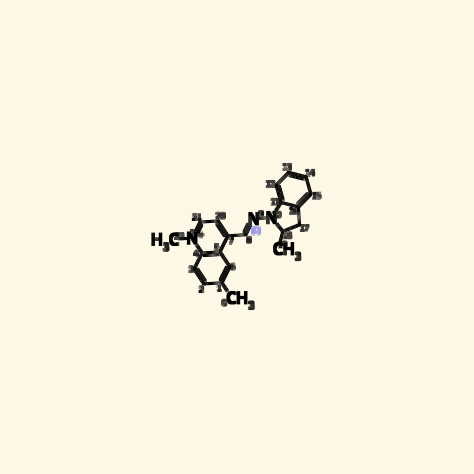 Cc1ccc2c(c1)c(/C=N/N1c3ccccc3CC1C)cc[n+]2C